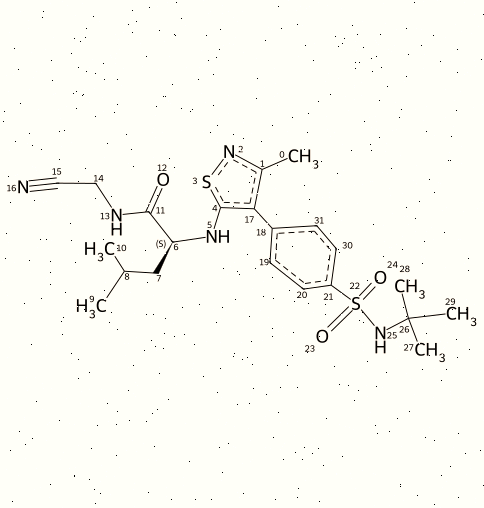 Cc1nsc(N[C@@H](CC(C)C)C(=O)NCC#N)c1-c1ccc(S(=O)(=O)NC(C)(C)C)cc1